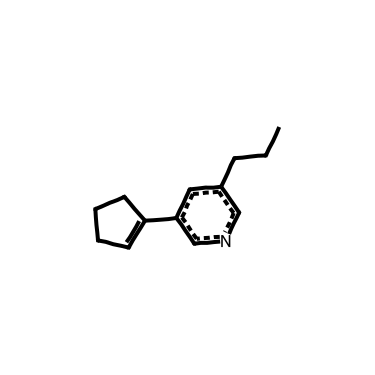 CCCc1cncc(C2=CCCC2)c1